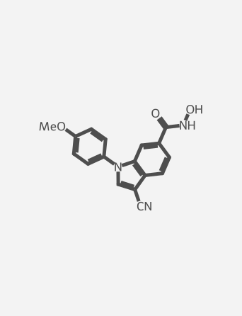 COc1ccc(-n2cc(C#N)c3ccc(C(=O)NO)cc32)cc1